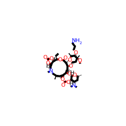 CC[C@H]1OC(=O)[C@H](C)[C@@H](O[C@H]2C[C@@](C)(OC)[C@@H](OCCCN)[C@H](C)O2)[C@H](C)[C@H]2O[C@@H]3O[C@H](C)C[C@H](N(C)C)[C@H]3OC(=O)O[C@]2(C)C[C@@H](C)CN(C)[C@H](C)[C@H]2OC(=O)O[C@@]21C